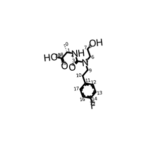 C[C@H](NC(=O)N(CCO)CCc1ccc(F)cc1)C(=O)O